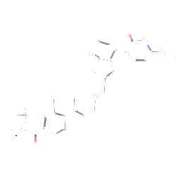 [2H]C([2H])([2H])N(C(=O)c1cc(C)c(C2=CCN(Cc3cc4c(-n5ccc(N)nc5=O)ccnc4n3C)CC2)c(F)c1)C([2H])([2H])[2H]